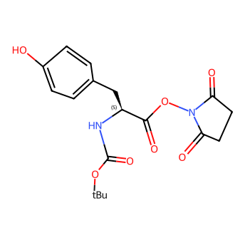 CC(C)(C)OC(=O)N[C@@H](Cc1ccc(O)cc1)C(=O)ON1C(=O)CCC1=O